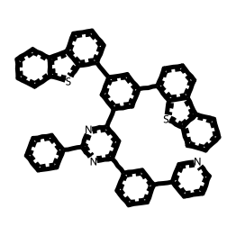 c1ccc(-c2nc(-c3cccc(-c4cccnc4)c3)cc(-c3cc(-c4cccc5c4sc4ccccc45)cc(-c4cccc5c4sc4ccccc45)c3)n2)cc1